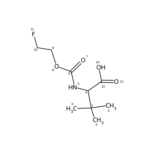 CC(C)(C)C(NC(=O)OCCF)C(=O)O